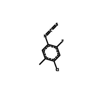 Cc1cc(N=C=S)c(F)cc1Cl